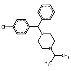 CC(C)N1CCN(C(c2ccccc2)c2ccc(Cl)cc2)CC1